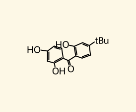 CC(C)(C)c1ccc(C(=O)c2ccc(O)cc2O)c(O)c1